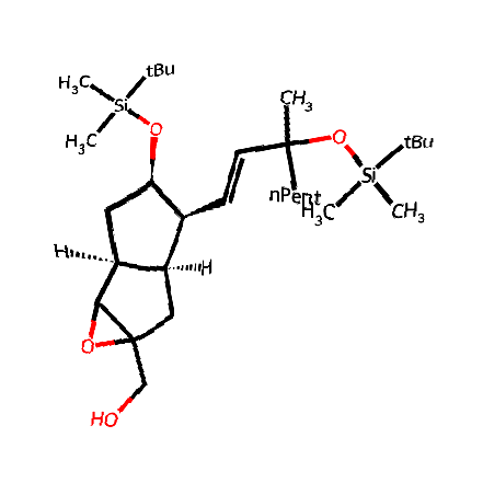 CCCCCC(C)(/C=C/[C@H]1[C@H]2CC3(CO)OC3[C@H]2C[C@H]1O[Si](C)(C)C(C)(C)C)O[Si](C)(C)C(C)(C)C